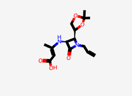 C=CCN1C(=O)[C@@H](NC(C)=CC(=O)O)[C@H]1C1COC(C)(C)O1